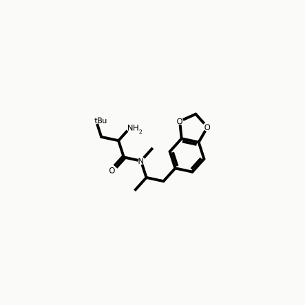 CC(Cc1ccc2c(c1)OCO2)N(C)C(=O)C(N)CC(C)(C)C